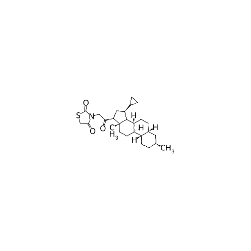 C[C@H]1CC[C@H]2[C@H](CC[C@H]3C4[C@H](C5CC5)C[C@H](C(=O)CN5C(=O)CSC5=O)[C@@]4(C)CC[C@H]23)C1